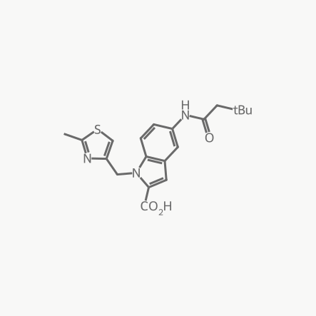 Cc1nc(Cn2c(C(=O)O)cc3cc(NC(=O)CC(C)(C)C)ccc32)cs1